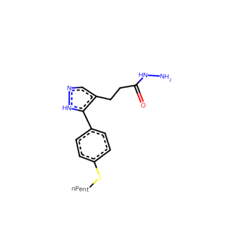 CCCCCSc1ccc(-c2[nH]ncc2CCC(=O)NN)cc1